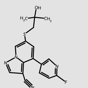 CC(C)(O)CSc1cc(-c2ccc(F)nc2)c2c(C#N)cnn2c1